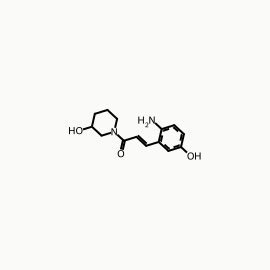 Nc1ccc(O)cc1C=CC(=O)N1CCCC(O)C1